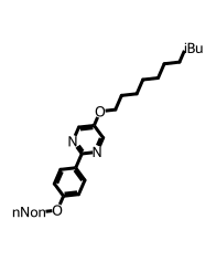 CCCCCCCCCOc1ccc(-c2ncc(OCCCCCCCC(C)CC)cn2)cc1